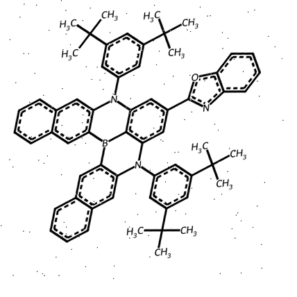 CC(C)(C)c1cc(N2c3cc4ccccc4cc3B3c4cc5ccccc5cc4N(c4cc(C(C)(C)C)cc(C(C)(C)C)c4)c4cc(-c5nc6ccccc6o5)cc2c43)cc(C(C)(C)C)c1